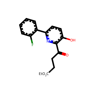 CCOC(=O)CCC(=O)c1nc(-c2ccccc2F)ccc1O